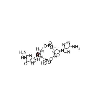 Nc1nc2c(ncn2[C@@H]2O[C@@H]3CO[PH](=O)O[C@H]4C[C@H](n5cnc6c(N)ncnc65)O[C@@H]4COP(=O)(S)O[C@@H]2[C@@H]3F)c(=O)[nH]1